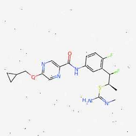 C/N=C(/N)S[C@H](C)[C@H](F)c1cc(NC(=O)c2cnc(OCC3CC3)cn2)ccc1F